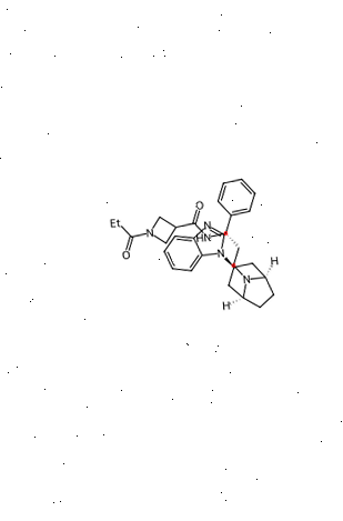 CCC(=O)N1CC(C(=O)N[C@@H](CCN2[C@@H]3CC[C@H]2C[C@@H](n2cnc4ccccc42)C3)c2ccccc2)C1